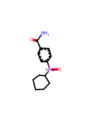 NC(=O)c1ccc([PH](=O)C2CCCCC2)cc1